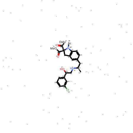 COC(=O)C1(C(=O)OC)Cc2cc(C[C@@H](C)NCC(O)c3cccc(Cl)c3)ccc2N1C(C)=O